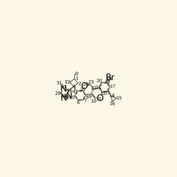 CC1CC(c2cccc(C3=COc4c(C5CC5)cc(Br)cc4C3C=O)c2)(c2nncn2C)C1